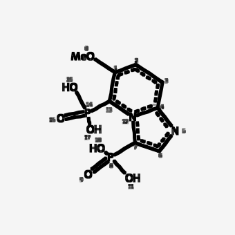 COc1ccc2ncc(P(=O)(O)O)n2c1P(=O)(O)O